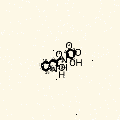 O=C(NC1=CC(=O)C2OC2C1O)c1cc2ccccc2nc1O